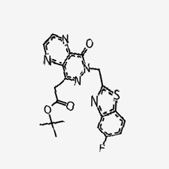 CC(C)(C)OC(=O)Cc1nn(Cc2nc3cc(F)ccc3s2)c(=O)c2nccnc12